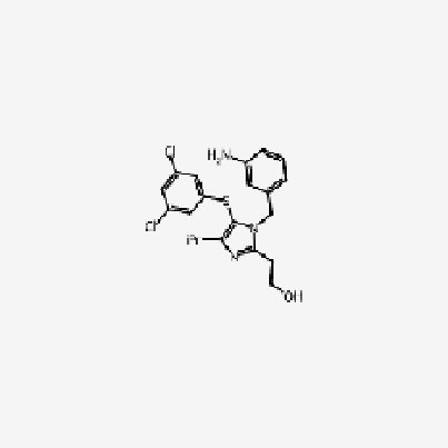 CC(C)c1nc(CCO)n(Cc2cccc(N)c2)c1Sc1cc(Cl)cc(Cl)c1